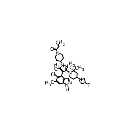 C=CC(=O)N1CCC(n2nc(N3CCC(N4CC(F)C4)CC3(C)C)c(-c3c(Cl)c(C)cc4[nH]ncc34)c2C)CC1